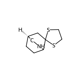 C1CSC2(C[C@@H]3CCC2NC3)S1